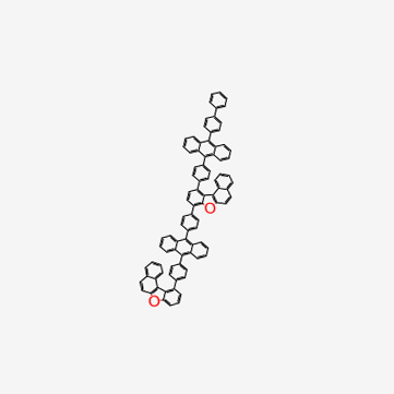 c1ccc(-c2ccc(-c3c4ccccc4c(-c4ccc(-c5ccc(-c6ccc(-c7c8ccccc8c(-c8ccc(-c9cccc%10oc%11ccc%12ccccc%12c%11c9%10)cc8)c8ccccc78)cc6)c6oc7ccc8ccccc8c7c56)cc4)c4ccccc34)cc2)cc1